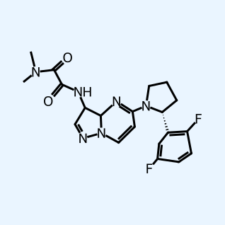 CN(C)C(=O)C(=O)NC1C=NN2C=CC(N3CCC[C@@H]3c3cc(F)ccc3F)=NC12